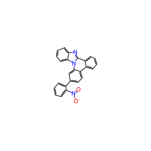 O=[N+]([O-])c1ccccc1-c1ccc2c3ccccc3c3nc4ccccc4n3c2c1